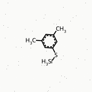 Cc1cc(C)cc(S[SiH3])c1